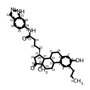 CCCc1cc2c(cc1O)CCC1C2CC[C@]2(C)C(=O)C[C@@H](CCCC(=O)Nc3ccc4cn[nH]c4c3)C12